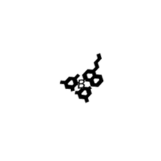 CCCCc1ccc(B(c2c(C)cc(C)cc2C)c2c(C)cc(C)cc2C)c2ccccc12